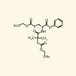 CC(=O)OCOC(=O)SC[C@H](NC(=O)C(C)(C)SC(=O)OCOC(C)=O)C(=O)Oc1ccccc1